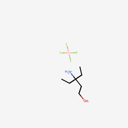 CCC([NH3+])(CC)CCO.F[B-](F)(F)F